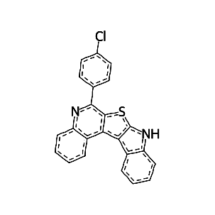 Clc1ccc(-c2nc3ccccc3c3c2sc2[nH]c4ccccc4c23)cc1